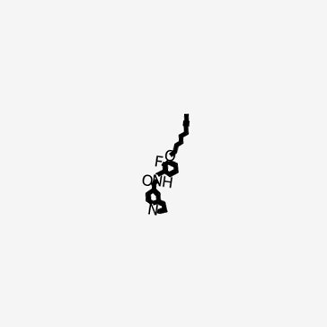 CC#CCCCCCOc1cccc(CNC(=O)c2ccc3ncccc3c2)c1F